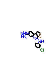 Clc1cccc(Nc2nc3cc(-c4nnn[nH]4)ccc3c3ccsc23)c1